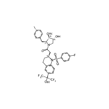 CC(=O)O[C@H]1[C@H](O)CN(C(=O)C[C@@H]2CCc3cc(C(O)(C(F)(F)F)C(F)(F)F)ccc3N2S(=O)(=O)c2ccc(F)cc2)[C@H]1Cc1ccc(C)cc1